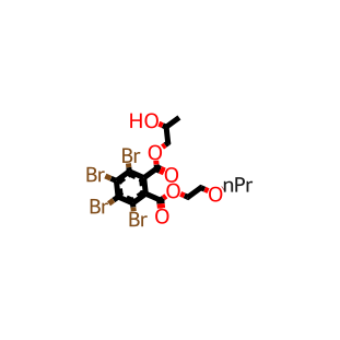 CCCOCCOC(=O)c1c(Br)c(Br)c(Br)c(Br)c1C(=O)OCC(C)O